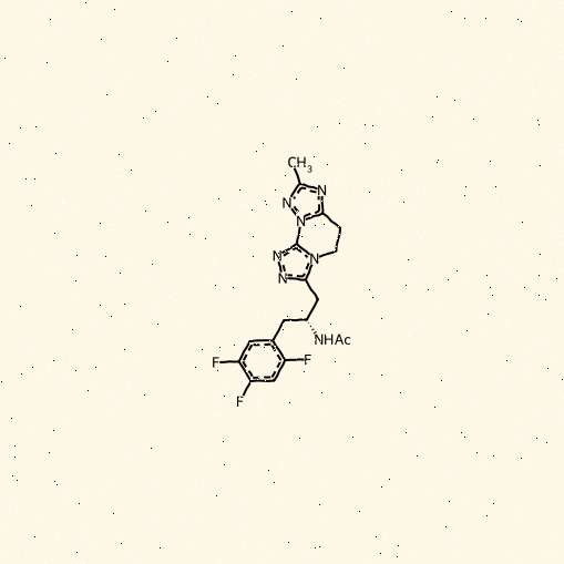 CC(=O)N[C@H](Cc1cc(F)c(F)cc1F)Cc1nnc2n1CCc1nc(C)nn1-2